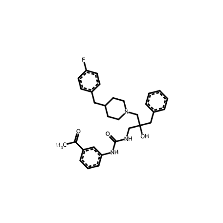 CC(=O)c1cccc(NC(=O)NCC(O)(Cc2ccccc2)CN2CCC(Cc3ccc(F)cc3)CC2)c1